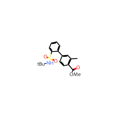 COC(=O)c1ccc(-c2ccccc2S(=O)(=O)NC(C)(C)C)cc1C